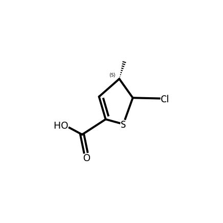 C[C@H]1C=C(C(=O)O)SC1Cl